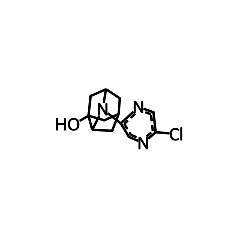 OC12CC3CC(C1)N(c1cnc(Cl)cn1)C2C3